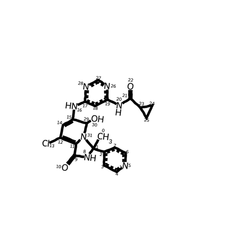 CC1(c2ccncc2)NC(=O)C2=C(Cl)C=C(Nc3cc(NC(=O)C4CC4)ncn3)C(O)N21